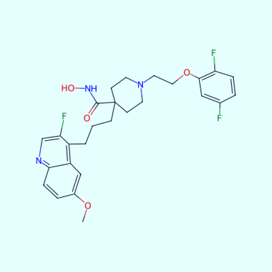 COc1ccc2ncc(F)c(CCCC3(C(=O)NO)CCN(CCOc4cc(F)ccc4F)CC3)c2c1